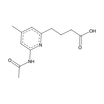 CC(=O)Nc1cc(C)cc(CCCC(=O)O)n1